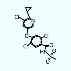 CS(=O)(=O)NC(=O)c1cc(Cl)c(Oc2cnc(C3CC3)c(Cl)c2)cc1Cl